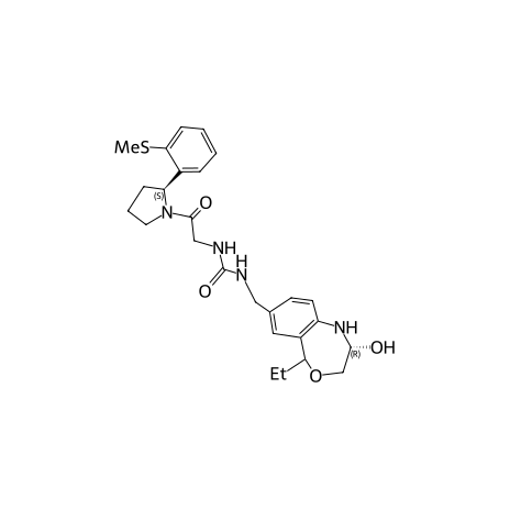 CCC1OC[C@@H](O)Nc2ccc(CNC(=O)NCC(=O)N3CCC[C@H]3c3ccccc3SC)cc21